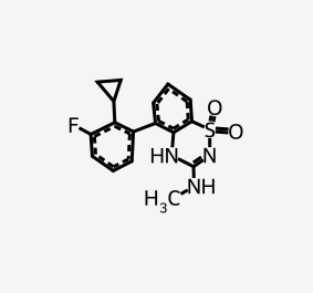 CNC1=NS(=O)(=O)c2cccc(-c3cccc(F)c3C3CC3)c2N1